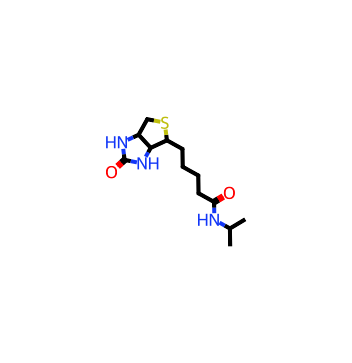 CC(C)NC(=O)CCCCC1SCC2NC(=O)NC21